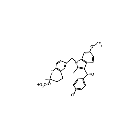 Cc1c(C(=O)c2ccc(Cl)cc2)c2ccc(OC(F)(F)F)cc2n1Cc1ccc2c(c1)CCC(C)(OC(=O)O)O2